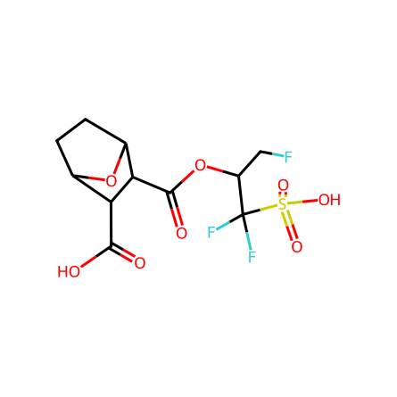 O=C(O)C1C2CCC(O2)C1C(=O)OC(CF)C(F)(F)S(=O)(=O)O